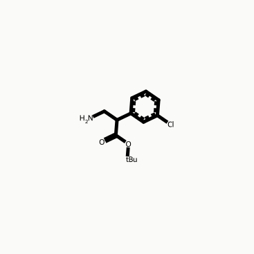 CC(C)(C)OC(=O)C(CN)c1cccc(Cl)c1